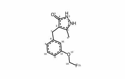 Cc1[nH][nH]c(=O)c1Cc1cccc(OCF)c1